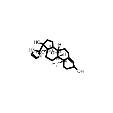 C[C@]12CCC(O)C=C1CC[C@@H]1[C@H]2CC[C@]2(C)C(O)(c3ncc[nH]3)CC[C@@]12O